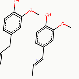 C/C=C/c1ccc(O)c(OC)c1.C=CCc1ccc(O)c(OC)c1